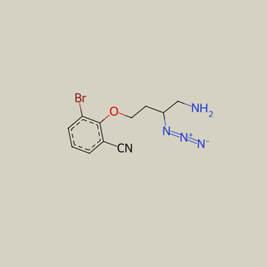 N#Cc1cccc(Br)c1OCCC(CN)N=[N+]=[N-]